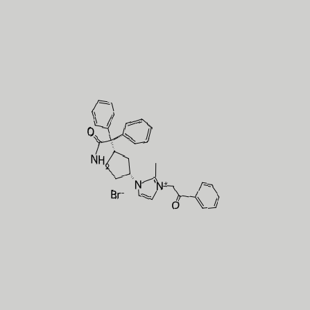 Cc1n([C@@H]2CC[C@H](C(C(N)=O)(c3ccccc3)c3ccccc3)C2)cc[n+]1CC(=O)c1ccccc1.[Br-]